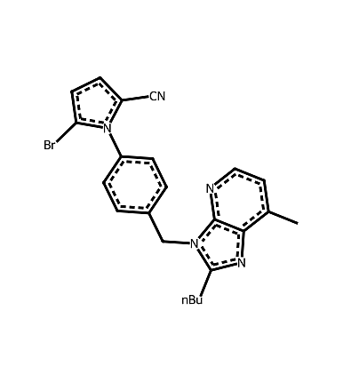 CCCCc1nc2c(C)ccnc2n1Cc1ccc(-n2c(Br)ccc2C#N)cc1